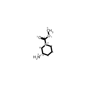 COC(=O)N1CCC[C@H](N)C1